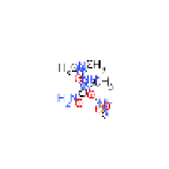 CCCn1c(NC(=O)c2cc(C)nn2CC)nc2cc(C(N)=O)cc(OCCCNS(=O)(=O)N3CCCC3)c21